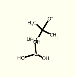 CC(C)(C)[O-].OB(O)O.[Li+]